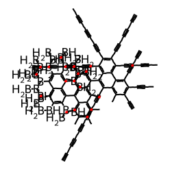 BBB(B)B(B(B)B)c1c(B(B(B)B)B(B)B)c(B(BB)B(B)B)c(B(B)B(B)B)c2c(-c3c4c(C)c(C)c(C)c(C)c4c(C)c4c(-c5c(C#CC#CC#CC#CC#C)c6c(C)c(C#C)c(C#CC)c(C#CC#C)c6c6c(C#CC#CC)c(C#CC#CC#C)c(C#CC#CC#CC)c(C#CC#CC#CC#C)c56)c(C)c(C)c(C)c34)c(B(B)B)c(BB)c(B)c12